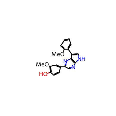 COc1cc(-c2cnc3[nH]cc(-c4ccccc4OC)c3n2)ccc1O